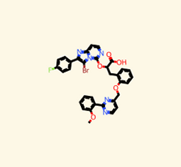 COc1ccccc1-c1nccc(COc2ccccc2CC(Oc2nccc3nc(-c4ccc(F)cc4)c(Br)n23)C(=O)O)n1